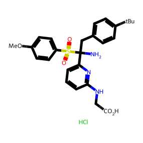 COc1ccc(S(=O)(=O)C(N)(Cc2ccc(C(C)(C)C)cc2)c2cccc(NCC(=O)O)n2)cc1.Cl